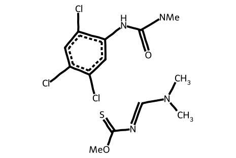 CNC(=O)Nc1cc(Cl)c(Cl)cc1Cl.COC(=S)N=CN(C)C